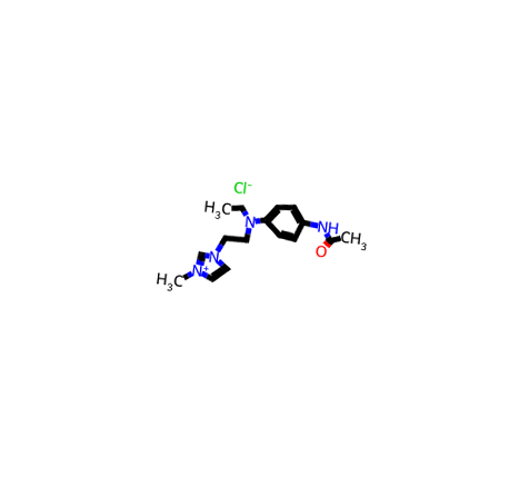 CCN(CCn1cc[n+](C)c1)c1ccc(NC(C)=O)cc1.[Cl-]